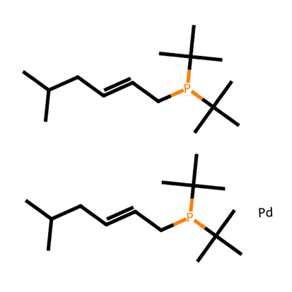 CC(C)CC=CCP(C(C)(C)C)C(C)(C)C.CC(C)CC=CCP(C(C)(C)C)C(C)(C)C.[Pd]